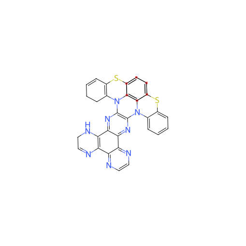 C1=CC2=C(CC1)N(c1nc3c4c(c5nccnc5c3nc1N1c3ccccc3Sc3ccccc31)N=CCN4)c1ccccc1S2